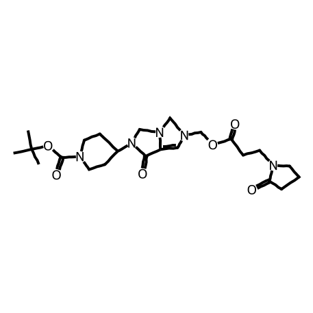 CC(C)(C)OC(=O)N1CCC(N2CN3CN(COC(=O)CCN4CCCC4=O)C=C3C2=O)CC1